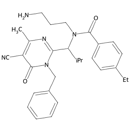 CCc1ccc(C(=O)N(CCCN)C(c2nc(C)c(C#N)c(=O)n2Cc2ccccc2)C(C)C)cc1